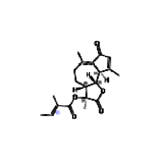 C/C=C(\C)C(=O)O[C@]1(C)C(=O)O[C@H]2[C@@H]3C(C)=CC(=O)C3=C(C)CC[C@H]21